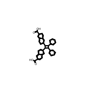 O=C(O)c1ccc2cc(C3C(c4ccccc4)C(c4ccccc4)C3c3ccc4cc(C(=O)O)ccc4c3)ccc2c1